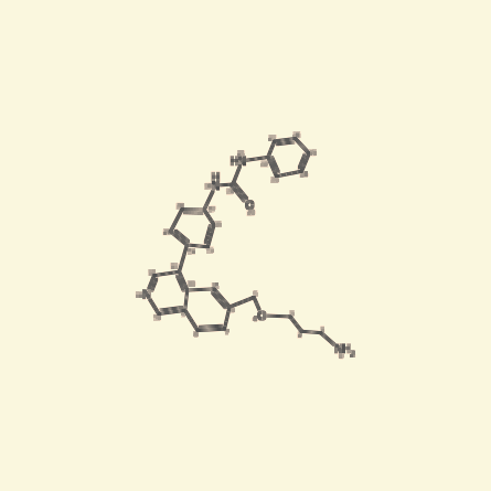 NCCCOCc1ccc2cncc(-c3ccc(NC(=O)Nc4ccccc4)cc3)c2c1